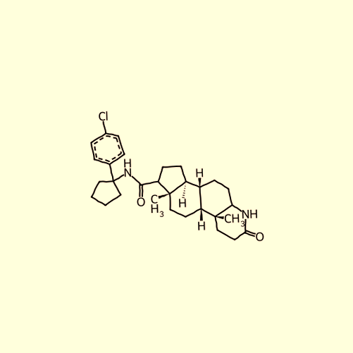 C[C@]12CCC(=O)NC1CC[C@@H]1[C@H]2CC[C@]2(C)C(C(=O)NC3(c4ccc(Cl)cc4)CCCC3)CC[C@@H]12